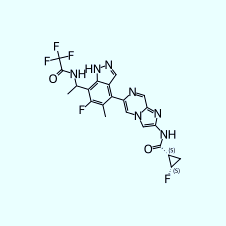 Cc1c(F)c(C(C)NC(=O)C(F)(F)F)c2[nH]ncc2c1-c1cn2cc(NC(=O)[C@@H]3C[C@@H]3F)nc2cn1